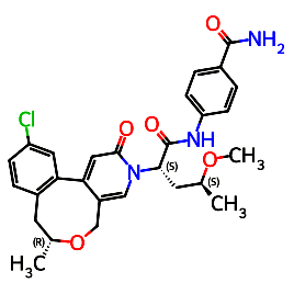 CO[C@@H](C)C[C@@H](C(=O)Nc1ccc(C(N)=O)cc1)n1cc2c(cc1=O)-c1cc(Cl)ccc1C[C@@H](C)OC2